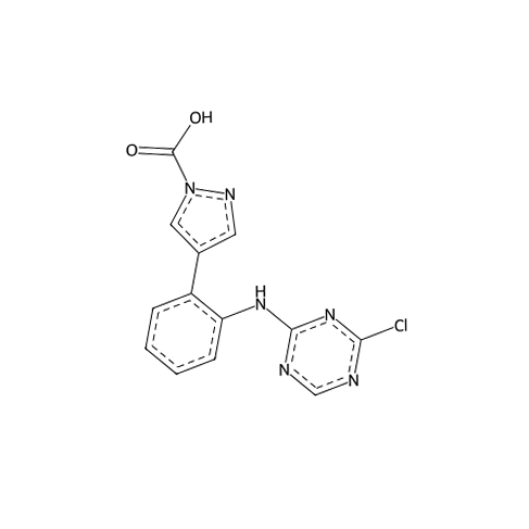 O=C(O)n1cc(-c2ccccc2Nc2ncnc(Cl)n2)cn1